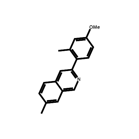 COc1ccc(-c2cc3ccc(C)cc3cn2)c(C)c1